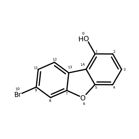 Oc1cccc2oc3cc(Br)ccc3c12